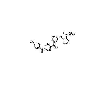 COC(=O)c1ccccc1Oc1cccc(C(=O)c2ncc(Nc3ccc(Cl)cc3)cn2)c1